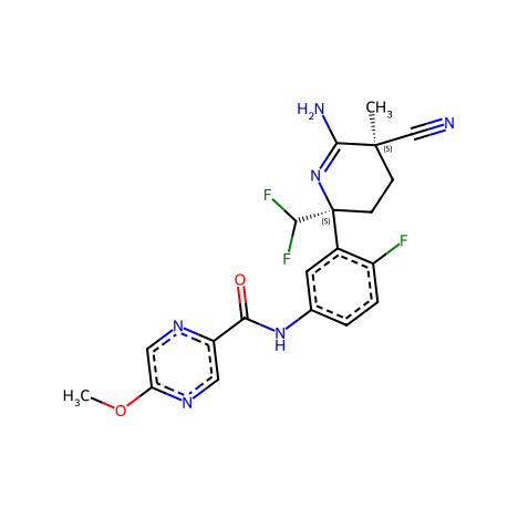 COc1cnc(C(=O)Nc2ccc(F)c([C@]3(C(F)F)CC[C@](C)(C#N)C(N)=N3)c2)cn1